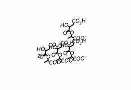 CC(OC(=O)C(O)CC(=O)O)C(=O)[O-].CC(OC(=O)C(O)CC(=O)O)C(=O)[O-].CC(OC(=O)C(O)CC(=O)O)C(=O)[O-].CC(OC(=O)C(O)CC(=O)O)C(=O)[O-].[Zr+4]